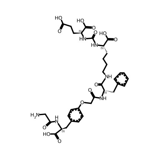 NCC(=O)N[C@@H](Cc1ccc(OCC(=O)N[C@@H](Cc2ccccc2)C(=O)NCCCC[C@H](NC(=O)N[C@@H](CCC(=O)O)C(=O)O)C(=O)O)cc1)C(=O)O